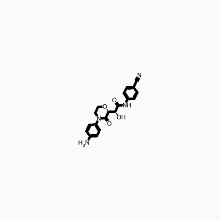 N#Cc1ccc(NC(=O)[C@H](O)[C@H]2OCCN(c3ccc(N)cc3)C2=O)cc1